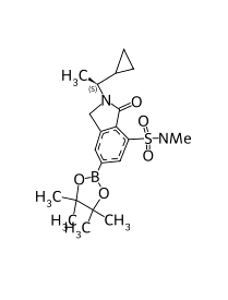 CNS(=O)(=O)c1cc(B2OC(C)(C)C(C)(C)O2)cc2c1C(=O)N([C@@H](C)C1CC1)C2